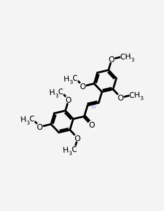 COc1cc(OC)c(/C=C/C(=O)c2c(OC)cc(OC)cc2OC)c(OC)c1